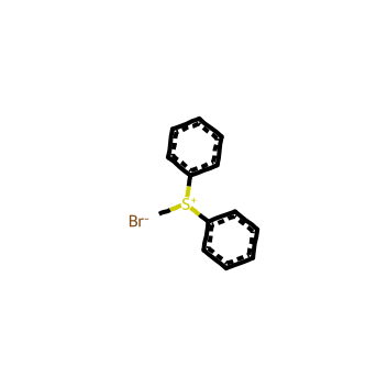 C[S+](c1ccccc1)c1ccccc1.[Br-]